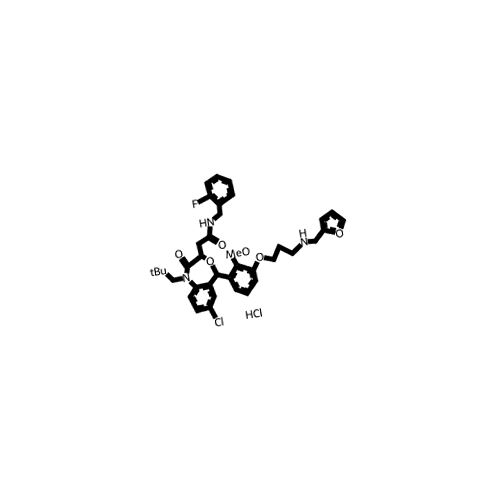 COc1c(OCCCNCc2ccco2)cccc1C1OC(CC(=O)NCc2ccccc2F)C(=O)N(CC(C)(C)C)c2ccc(Cl)cc21.Cl